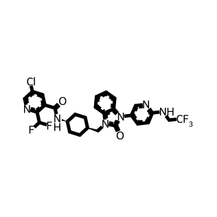 O=C(N[C@H]1CC[C@H](Cn2c(=O)n(-c3ccc(NCC(F)(F)F)nc3)c3ccccc32)CC1)c1cc(Cl)cnc1C(F)F